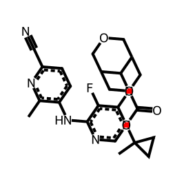 Cc1nc(C#N)ccc1Nc1ncnc(OC2C3COCC2CN(C(=O)OC2(C)CC2)C3)c1F